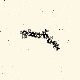 CC(C)n1nc(N2CCN(Cc3cc4c(cc3Br)C(=O)N(C3CCC(=O)NC3=O)C4)CC2)c2cnc(Nc3ccnc(-c4cnn(S(=O)(=O)C5CC5)c4)n3)cc21